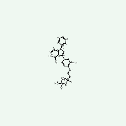 CC(C)(CCOc1ccc(-c2cn(-c3ccccc3)c3nc[nH]c(=O)c23)cc1F)OP(=O)(O)O